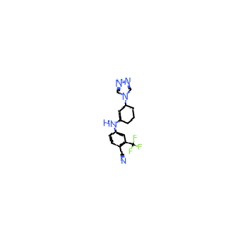 N#Cc1ccc(NC2CCCC(n3cnnc3)C2)cc1C(F)(F)F